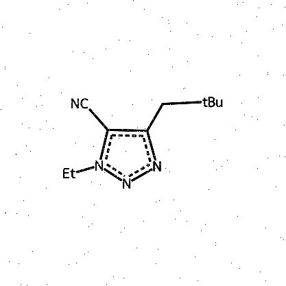 CCn1nnc(CC(C)(C)C)c1C#N